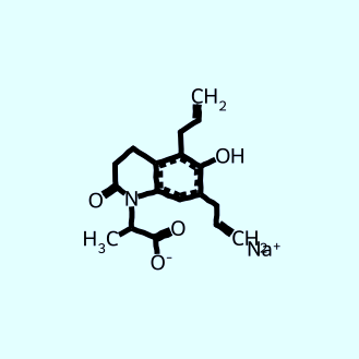 C=CCc1cc2c(c(CC=C)c1O)CCC(=O)N2C(C)C(=O)[O-].[Na+]